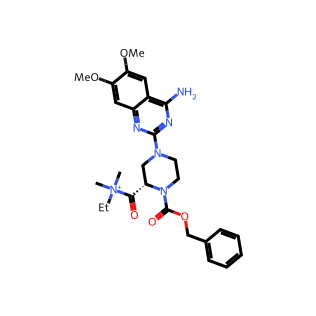 CC[N+](C)(C)C(=O)[C@@H]1CN(c2nc(N)c3cc(OC)c(OC)cc3n2)CCN1C(=O)OCc1ccccc1